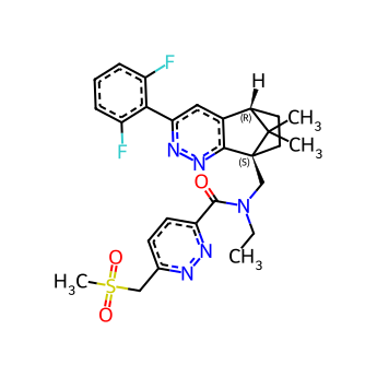 CCN(C[C@@]12CC[C@@H](c3cc(-c4c(F)cccc4F)nnc31)C2(C)C)C(=O)c1ccc(CS(C)(=O)=O)nn1